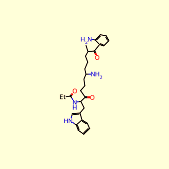 CCC(=O)NC(Cc1c[nH]c2ccccc12)C(=O)CCCC(N)CCCC(C)C(=O)c1ccccc1N